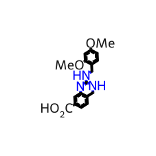 COc1ccc(CNC2=Nc3cc(C(=O)O)ccc3CN2)c(OC)c1